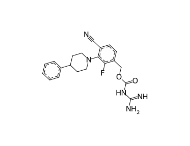 N#Cc1ccc(COC(=O)NC(=N)N)c(F)c1N1CCC(c2ccccc2)CC1